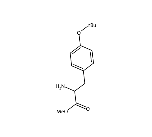 CCCCOc1ccc(CC(N)C(=O)OC)cc1